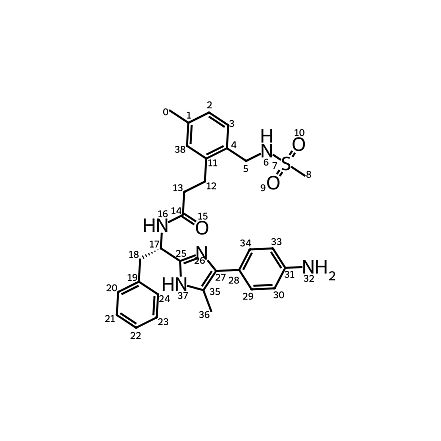 Cc1ccc(CNS(C)(=O)=O)c(CCC(=O)N[C@@H](Cc2ccccc2)c2nc(-c3ccc(N)cc3)c(C)[nH]2)c1